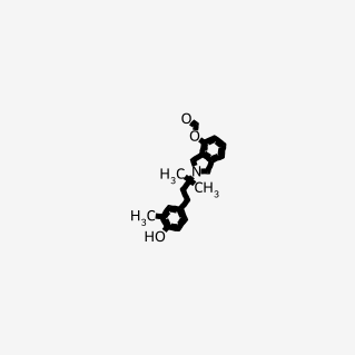 Cc1cc(CCC(C)(C)N2Cc3cccc(OC=O)c3C2)ccc1O